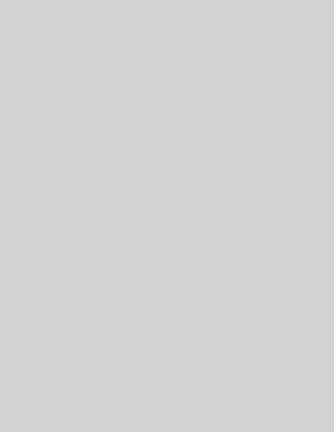 C=CSCC=CS